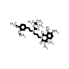 COc1ccc(CCN(CCCN2C(=O)c3c(ccc(N)c3N)C(C)(C)C2=O)C(=O)OC(C)(C)C)cc1OC